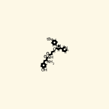 CC(C)(C)c1ccc(-n2nc(-c3cccnc3)cc2OCCCC(=O)NC(=O)C(N)Cc2ccc(O)cc2)cc1